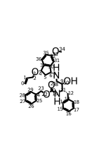 C=CCO[C@H]1C[C@@H](NCC(O)[C@H](Cc2ccccc2)NC(=O)OCc2ccccc2)c2cc(OC)ccc21